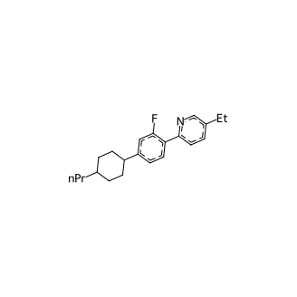 CCCC1CCC(c2ccc(-c3ccc(CC)cn3)c(F)c2)CC1